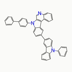 c1ccc(-c2ccc(-n3c4ccc(-c5ccc6c(c5)c5ccccc5n6-c5ccccc5)cc4c4c5ccccc5ncc43)cc2)cc1